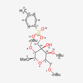 CCCCOCC1O[C@@H](OC)C(OCCCC)[C@](O)(COS(=O)(=O)c2ccc(C)cc2)[C@H]1OCCCC